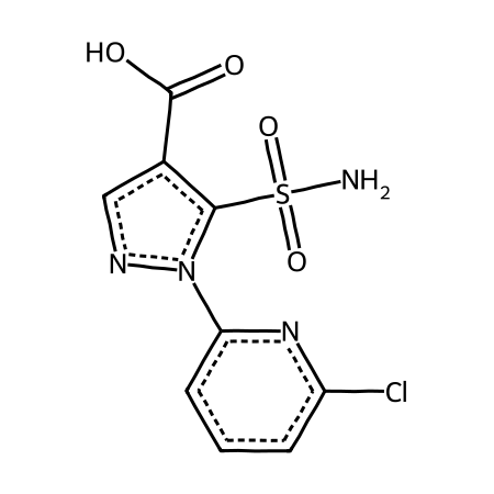 NS(=O)(=O)c1c(C(=O)O)cnn1-c1cccc(Cl)n1